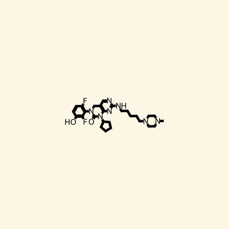 CN1CCN(CCCCCNc2ncc3c(n2)N(C2CCCC2)C(=O)N(c2c(F)ccc(O)c2F)C3)CC1